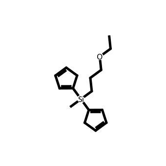 CCOCCC[Si](C)(C1=CC=CC1)C1=CC=CC1